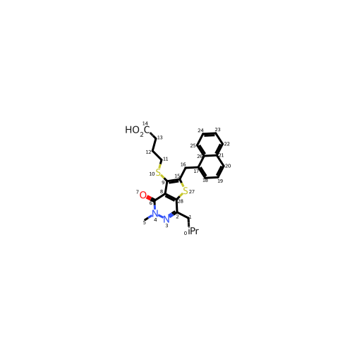 CC(C)Cc1nn(C)c(=O)c2c(SCCCC(=O)O)c(Cc3cccc4ccccc34)sc12